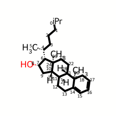 CC(C)CCC[C@@H](C)[C@H]1[C@@H](O)C[C@H]2[C@@H]3CCC4=CC=CC[C@]4(C)[C@H]3CC[C@]12C